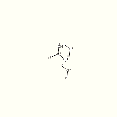 COC.COC.OB(O)F